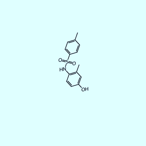 Cc1ccc(S(=O)(=O)Nc2ccc(O)cc2C)cc1